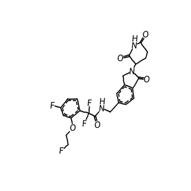 O=C1CCC(N2Cc3cc(CNC(=O)C(F)(F)c4ccc(F)cc4OCCF)ccc3C2=O)C(=O)N1